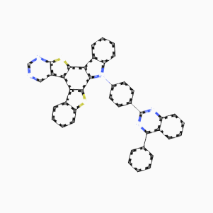 c1ccc(-c2nc(-c3ccc(-n4c5ccccc5c5c6sc7ncncc7c6c6c7ccccc7sc6c54)cc3)nc3ccccc23)cc1